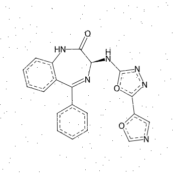 O=C1Nc2ccccc2C(c2ccccc2)=N[C@@H]1Nc1nnc(-c2cnco2)o1